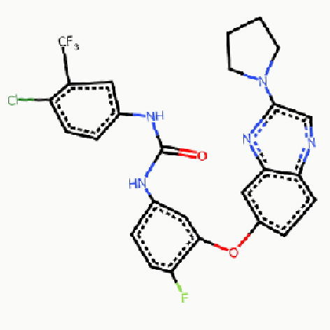 O=C(Nc1ccc(F)c(Oc2ccc3ncc(N4CCCC4)nc3c2)c1)Nc1ccc(Cl)c(C(F)(F)F)c1